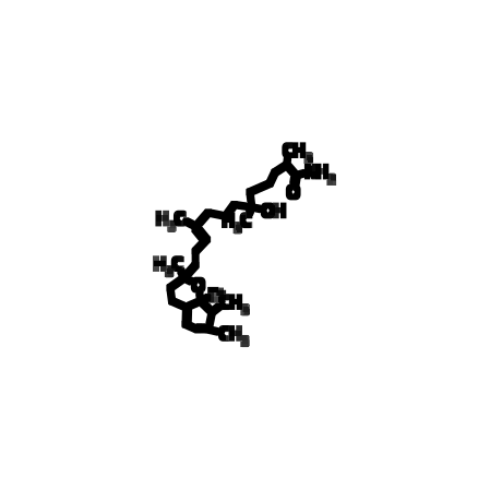 CCC12OC(C)(CC/C=C(\C)CCCC(C)(O)CCCC(C)C(N)=O)CCC1=CC=C(C)C2C